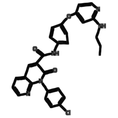 CCCNc1cc(Oc2ccc(NC(=O)c3cc4cccnc4n(-c4ccc(Cl)cc4)c3=O)cc2)ccn1